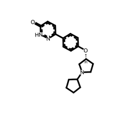 O=c1ccc(-c2ccc(O[C@@H]3CCN(C4CCCC4)C3)cc2)n[nH]1